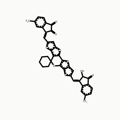 O=C1C(=O)c2ccc(C(F)(F)F)cc2/C1=C/c1cc2sc3c(c2s1)C1(CCCCC1)Oc1c-3sc2cc(/C=C3/c4cc(C(F)(F)F)ccc4C(=O)C3O)sc12